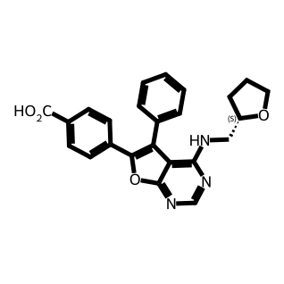 O=C(O)c1ccc(-c2oc3ncnc(NC[C@@H]4CCCO4)c3c2-c2ccccc2)cc1